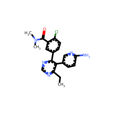 CCc1ncnc(-c2ccc(Cl)c(C(=O)N(C)C)c2)c1-c1ccc(N)nc1